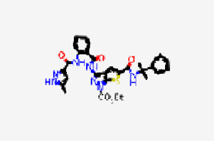 CCOC(=O)n1nc(NC(=O)c2ccccc2NC(=O)c2cc(C)[nH]n2)c2cc(C(=O)NC(C)(C)c3ccccc3)sc21